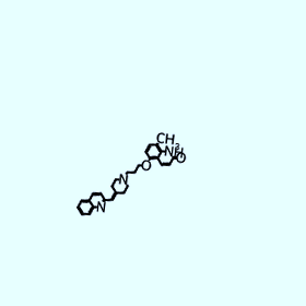 Cc1ccc(OCCCN2CCC(=Cc3ccc4ccccc4n3)CC2)c2ccc(=O)[nH]c12